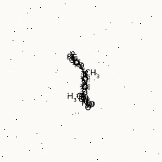 CN(CCCOc1ccc(OC(F)(F)F)cc1)C1CCN(c2ccc(OCC3(C)Cn4cc([N+](=O)[O-])nc4O3)cc2)CC1